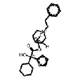 O=C(O[C@H]1C[N+]2(CCc3ccccc3)CCC1CC2)[C@](O)(c1cccs1)C1CCCCC1